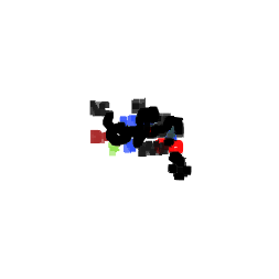 CSc1nc2c(F)c(Br)c(CCC#N)cc2c(N[C@H]2[C@@H]3C[C@H]2N(C(=O)O)C3)c1C#CC1CCCN1C(=O)OCC[Si](C)(C)C